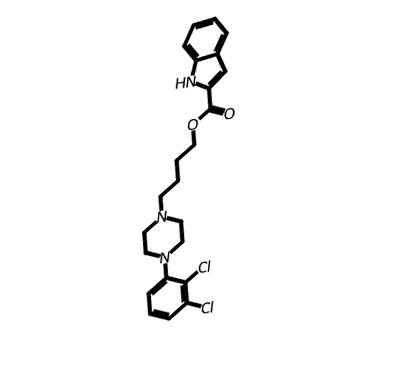 O=C(OCCCCN1CCN(c2cccc(Cl)c2Cl)CC1)c1cc2ccccc2[nH]1